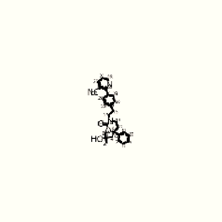 CC(C)(O)C[C@]1(c2ccccc2)CCN(CCc2ccc(-c3ncccc3C#N)cc2)C(=O)O1